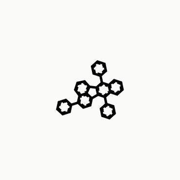 c1ccc(-c2c3c(c(-c4ccccc4)c4ccccc24)-c2ccc(-c4ccccc4)c4cccc-3c24)cc1